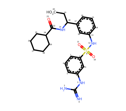 N=C(N)Nc1cccc(S(=O)(=O)Nc2cccc(C(CC(=O)O)NC(=O)C3CCCCC3)c2)c1